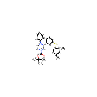 Cc1ccc(Sc2ccc(-c3ccccc3N3CCN(C(=O)OC(C)(C)C)CC3)cc2)c(C)c1